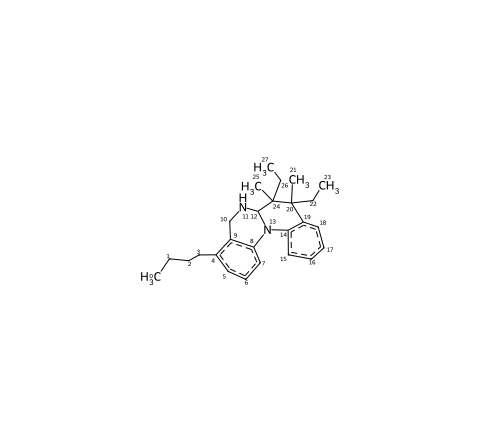 CCCCc1cccc2c1CNC1N2c2ccccc2C(C)(CC)C1(C)CC